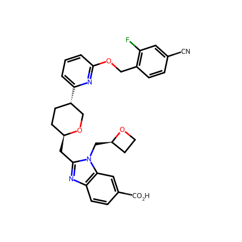 N#Cc1ccc(COc2cccc([C@H]3CC[C@H](Cc4nc5ccc(C(=O)O)cc5n4C[C@@H]4CCO4)OC3)n2)c(F)c1